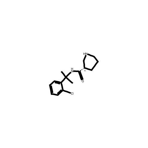 CC(C)(NC(=O)[C@H]1CCCNC1)c1ccccc1Cl